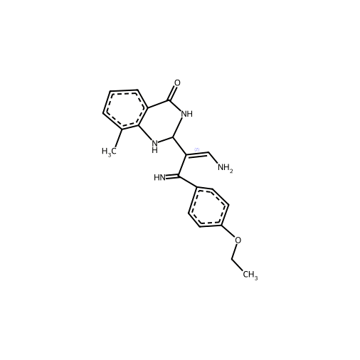 CCOc1ccc(C(=N)/C(=C\N)C2NC(=O)c3cccc(C)c3N2)cc1